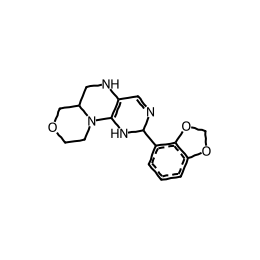 C1=NC(c2cccc3c2OCO3)NC2=C1NCC1COCCN21